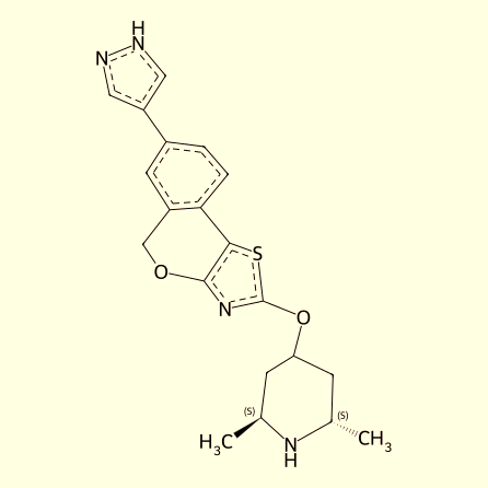 C[C@H]1CC(Oc2nc3c(s2)-c2ccc(-c4cn[nH]c4)cc2CO3)C[C@H](C)N1